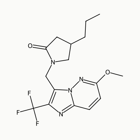 CCCC1CC(=O)N(Cc2c(C(F)(F)F)nc3ccc(OC)nn23)C1